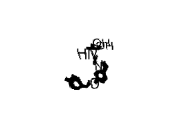 Cc1ccc(CCOc2ccc3ccn(CCNC(C)(CO)CO)c3c2)cc1